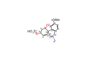 COc1ccc2c3c1OC1CC(OS(=O)(=O)O)C=CC31CCN(C)C2